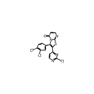 O=c1ccnc2sc(-c3ccnc(Cl)n3)c(-c3ccc(Cl)c(Cl)c3)n12